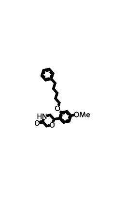 COc1ccc(C2CNC(=O)CO2)c(OCCCCCc2ccccc2)c1